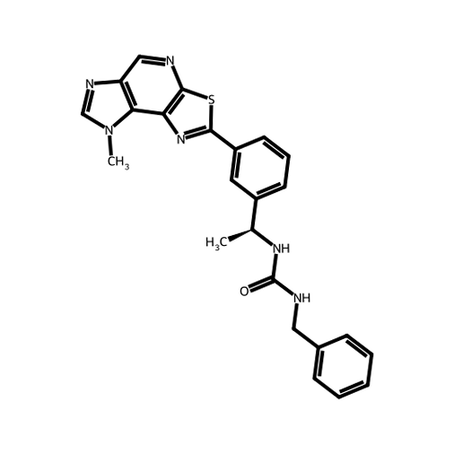 C[C@H](NC(=O)NCc1ccccc1)c1cccc(-c2nc3c(ncc4ncn(C)c43)s2)c1